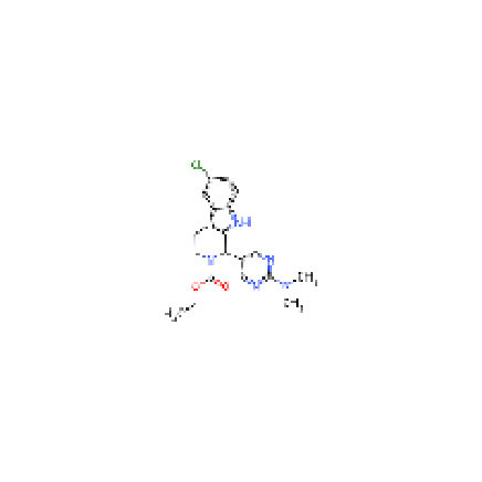 CCOC(=O)N1CCc2c([nH]c3ccc(Cl)cc23)C1c1cnc(N(C)C)nc1